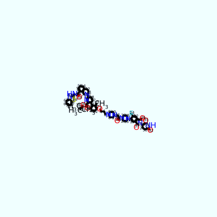 Cc1c(OCCCN2CCN(CC(=O)N3CCN(c4cc5c(cc4F)C(=O)N(C4CCC(=O)NC4=O)C5=O)CC3)CC2)cccc1-c1ccc(N2CCc3cccc(C(=O)Nc4nc5ccccc5s4)c3C2)nc1C(=O)OC(C)(C)C